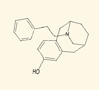 Oc1ccc2c(c1)CC1CCC(C2)N(CCc2ccccc2)C1